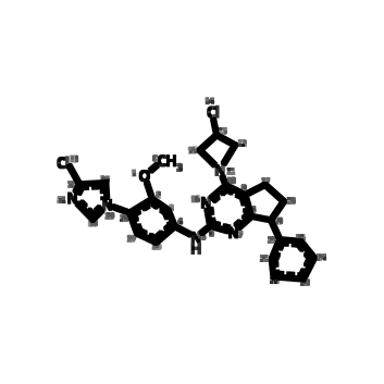 COc1cc(Nc2nc3c(c(N4CC(Cl)C4)n2)CCC3c2ccccc2)ccc1-n1cnc(Cl)c1